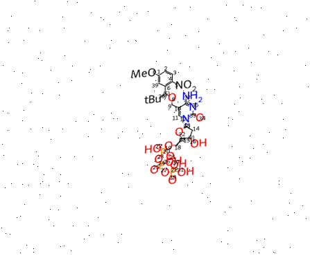 COc1ccc([N+](=O)[O-])c([C@@H](OCc2cn([C@H]3C[C@@H](O)[C@@H](COP(=O)(O)OP(=O)(O)OP(=O)(O)O)O3)c(=O)nc2N)C(C)(C)C)c1